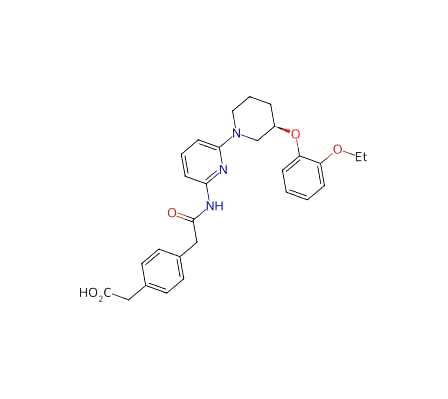 CCOc1ccccc1O[C@@H]1CCCN(c2cccc(NC(=O)Cc3ccc(CC(=O)O)cc3)n2)C1